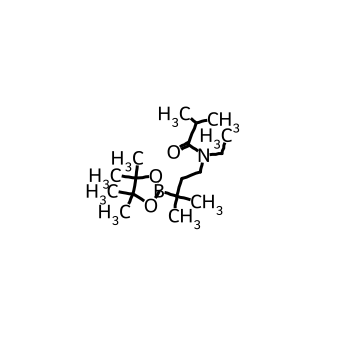 CCN(CCC(C)(C)B1OC(C)(C)C(C)(C)O1)C(=O)C(C)C